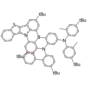 Cc1cc(C(C)(C)C)ccc1N(c1ccc2c(c1)N(c1ccc(C(C)(C)C)cc1-c1ccccc1)c1cc(C(C)(C)C)cc3c1B2c1cc(C(C)(C)C)cc2c4sc5ccccc5c4n-3c12)c1ccc(C(C)(C)C)cc1C